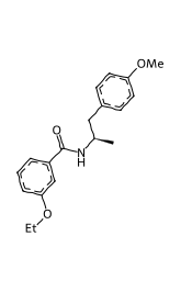 CCOc1cccc(C(=O)N[C@H](C)Cc2ccc(OC)cc2)c1